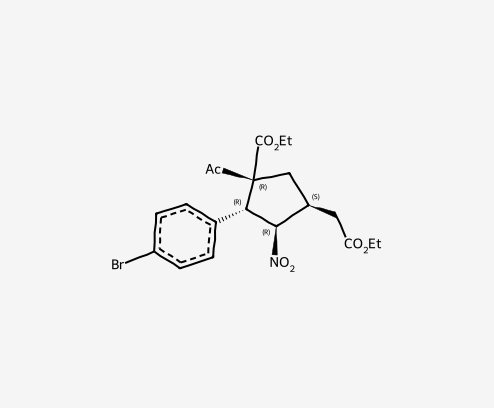 CCOC(=O)C[C@@H]1C[C@@](C(C)=O)(C(=O)OCC)[C@@H](c2ccc(Br)cc2)[C@@H]1[N+](=O)[O-]